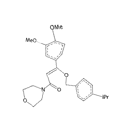 COc1ccc(C(=CC(=O)N2CCOCC2)OCc2ccc(C(C)C)cc2)cc1OC